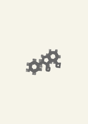 O=C1c2c(Cl)cccc2CC1c1ccccc1